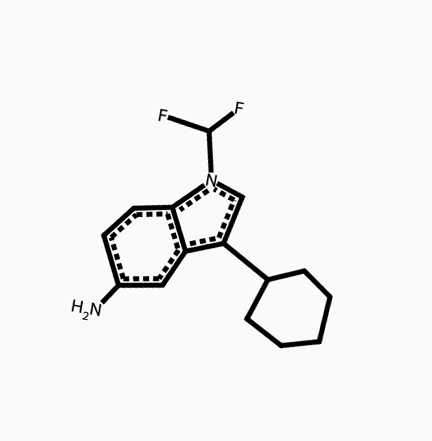 Nc1ccc2c(c1)c(C1CCCCC1)cn2C(F)F